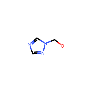 [O]Cn1cncn1